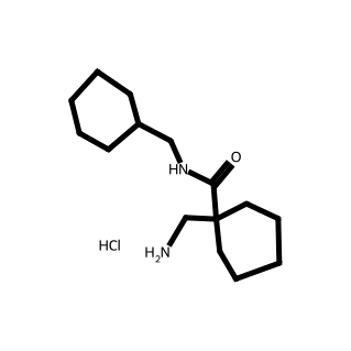 Cl.NCC1(C(=O)NCC2CCCCC2)CCCCC1